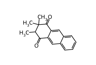 CC1C(=O)c2cc3ccccc3cc2C(=O)C1(C)C